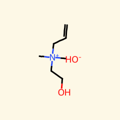 C=CC[N+](C)(C)CCO.[OH-]